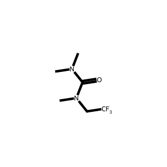 CN(C)C(=O)N(C)CC(F)(F)F